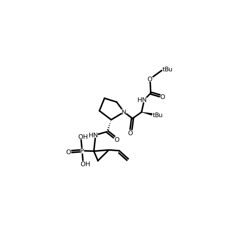 C=CC1CC1(NC(=O)[C@@H]1CCCN1C(=O)[C@@H](NC(=O)OC(C)(C)C)C(C)(C)C)P(=O)(O)O